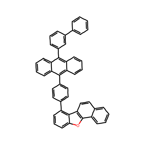 c1ccc(-c2cccc(-c3c4ccccc4c(-c4ccc(-c5cccc6oc7c8ccccc8ccc7c56)cc4)c4ccccc34)c2)cc1